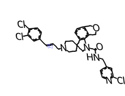 O=C(NCc1ccnc(Cl)c1)N1CC2(CCN(C/C=C/c3ccc(Cl)c(Cl)c3)CC2)c2ccc3c(c21)COC3